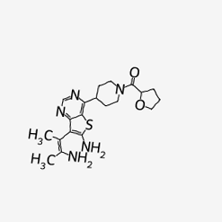 C/C(N)=C(\C)c1c(N)sc2c(C3CCN(C(=O)C4CCCO4)CC3)ncnc12